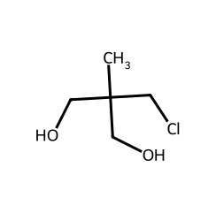 CC(CO)(CO)CCl